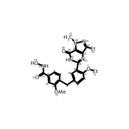 CCOc1ccc(Cc2ccc(C(=O)NO)cc2OC)cc1-c1nc2c(CC)nn(C)c2c(=O)[nH]1